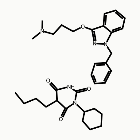 CCCCC1C(=O)NC(=O)N(C2CCCCC2)C1=O.CN(C)CCCOc1nn(Cc2ccccc2)c2ccccc12